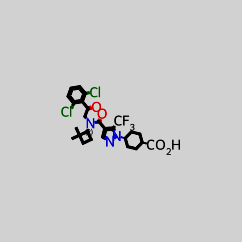 CC1(C)CC[C@H]1N(CC(=O)c1c(Cl)cccc1Cl)C(=O)c1cnn([C@H]2CC[C@@H](C(=O)O)CC2)c1C(F)(F)F